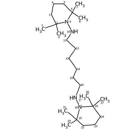 CC1(C)CCCC(C)(C)N1NCCCCCCNN1C(C)(C)CCCC1(C)C